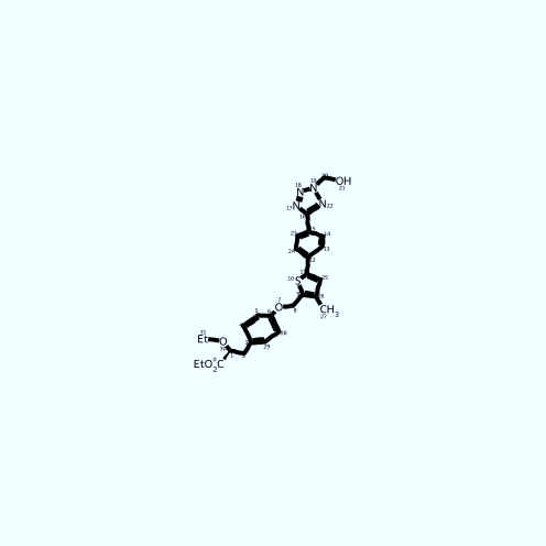 CCOC(=O)[C@H](Cc1ccc(OCc2sc(-c3ccc(-c4nnn(CO)n4)cc3)cc2C)cc1)OCC